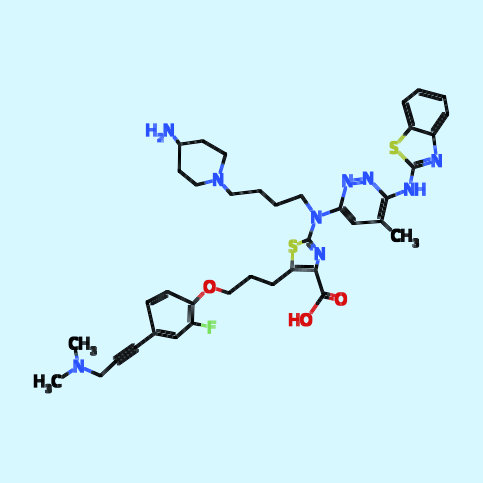 Cc1cc(N(CCCCN2CCC(N)CC2)c2nc(C(=O)O)c(CCCOc3ccc(C#CCN(C)C)cc3F)s2)nnc1Nc1nc2ccccc2s1